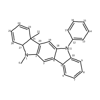 CN1c2cc3c4ccccc4n(-c4ccccc4)c3cc2C2(C)C=CC=CC12